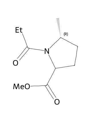 CCC(=O)N1C(C(=O)OC)CC[C@H]1C